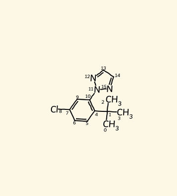 CC(C)(C)c1ccc(Cl)cc1-n1nccn1